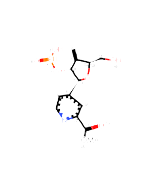 C=C1[C@@H](O[PH](=O)O)[C@H](c2ccnc(C(=O)OC)c2)O[C@@H]1CO